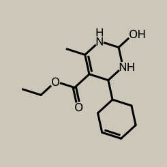 CCOC(=O)C1=C(C)NC(O)NC1C1CC=CCC1